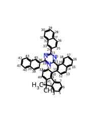 CC1(C)c2ccccc2-c2c(-c3ccc4ccccc4c3-c3nc(-c4ccc5ccccc5c4)nc(-c4ccc5ccccc5c4)n3)cccc21